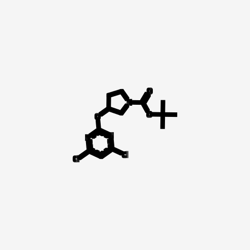 CC(C)(C)OC(=O)N1CCC(Oc2nc(Cl)cc(Cl)n2)C1